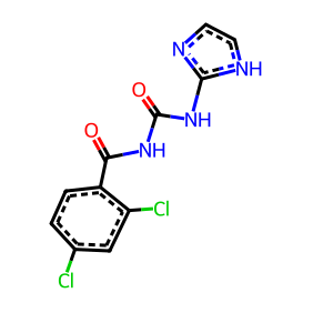 O=C(NC(=O)c1ccc(Cl)cc1Cl)Nc1ncc[nH]1